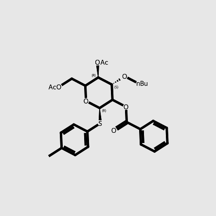 CCCCO[C@@H]1C(OC(=O)c2ccccc2)[C@@H](Sc2ccc(C)cc2)OC(COC(C)=O)[C@H]1OC(C)=O